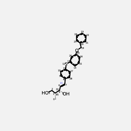 C[C@H](CO)[C@@H](O)/C=C/c1ccc(Sc2cccc(OCc3ccccc3)c2)cc1